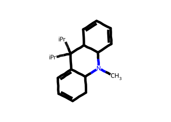 CC(C)C1(C(C)C)C2=CC=CCC2N(C)C2C=CC=CC21